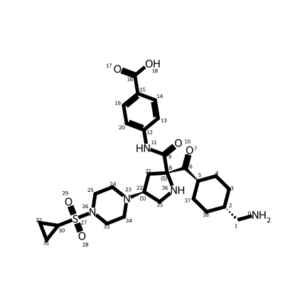 NC[C@H]1CC[C@H](C(=O)[C@]2(C(=O)Nc3ccc(C(=O)O)cc3)C[C@H](N3CCN(S(=O)(=O)C4CC4)CC3)CN2)CC1